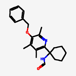 Cc1nc(C2(NC=O)CCCCC2)c(C)c(C)c1OCc1ccccc1